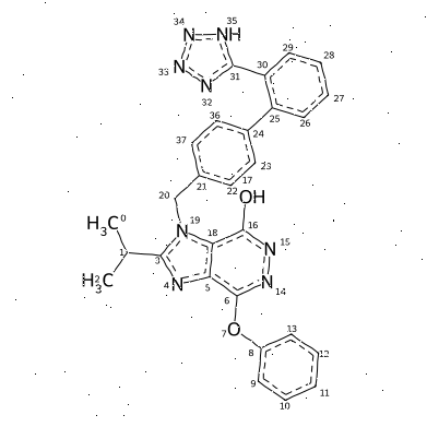 CC(C)c1nc2c(Oc3ccccc3)nnc(O)c2n1Cc1ccc(-c2ccccc2-c2nnn[nH]2)cc1